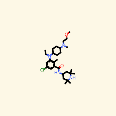 CCN(c1cc(Cl)cc(C(=O)NC2CC(C)(C)NC(C)(C)C2)c1C)C1CCC(N(C)CCOC)CC1